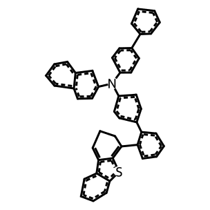 C1=c2c(sc3ccccc23)=C(c2ccccc2-c2ccc(N(c3ccc(-c4ccccc4)cc3)c3ccc4ccccc4c3)cc2)CC1